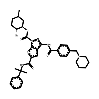 CC(C)[C@@H]1CC[C@@H](C)C[C@H]1OC(=O)n1nc(NC(=O)c2ccc(CN3CCCCC3)cc2)c2cc(C(=O)NC(C)(C)c3ccccc3)sc21